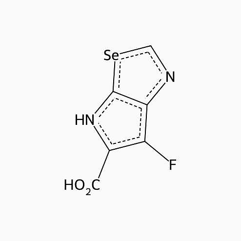 O=C(O)c1[nH]c2[se]cnc2c1F